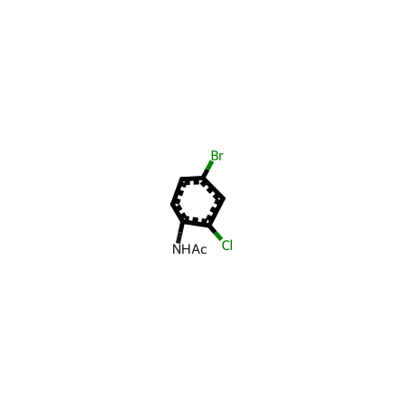 CC(=O)Nc1ccc(Br)cc1Cl